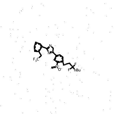 C=[N+]([O-])c1cc(C2=NC(c3ccccc3CC(F)(F)F)=NC2)ccc1CCC(F)(F)CCCC